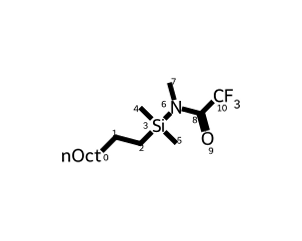 CCCCCCCCCC[Si](C)(C)N(C)C(=O)C(F)(F)F